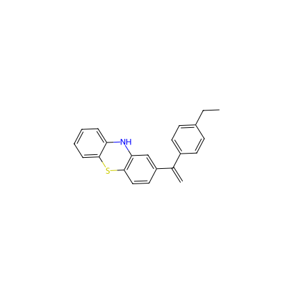 C=C(c1ccc(CC)cc1)c1ccc2c(c1)Nc1ccccc1S2